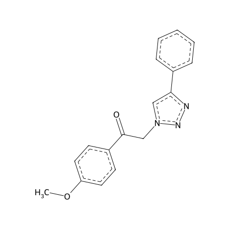 COc1ccc(C(=O)Cn2cc(-c3ccccc3)nn2)cc1